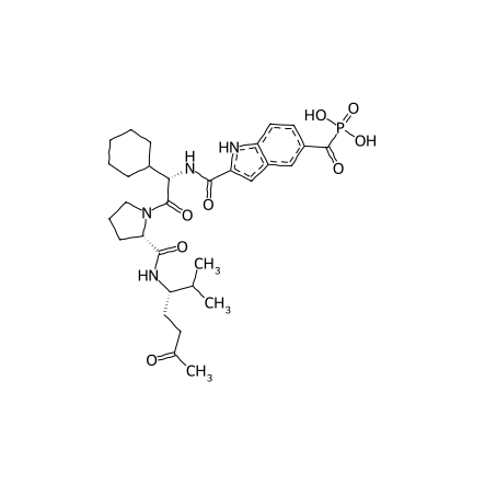 CC(=O)CC[C@H](NC(=O)[C@@H]1CCCN1C(=O)[C@@H](NC(=O)c1cc2cc(C(=O)P(=O)(O)O)ccc2[nH]1)C1CCCCC1)C(C)C